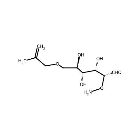 C=C(C)COC[C@@H](O)[C@@H](O)[C@H](O)[C@H](C=O)ON